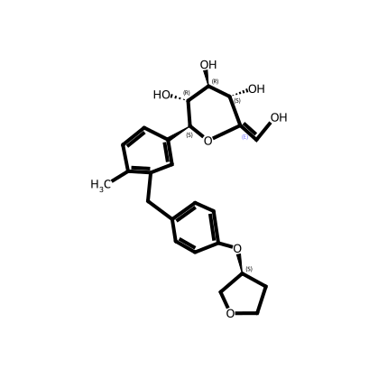 Cc1ccc([C@@H]2O/C(=C/O)[C@@H](O)[C@H](O)[C@H]2O)cc1Cc1ccc(O[C@H]2CCOC2)cc1